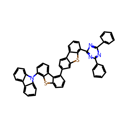 c1ccc(-c2nc(-c3ccccc3)nc(-c3cccc4c3sc3cc(-c5cccc6sc7c(-n8c9ccccc9c9ccccc98)cccc7c56)ccc34)n2)cc1